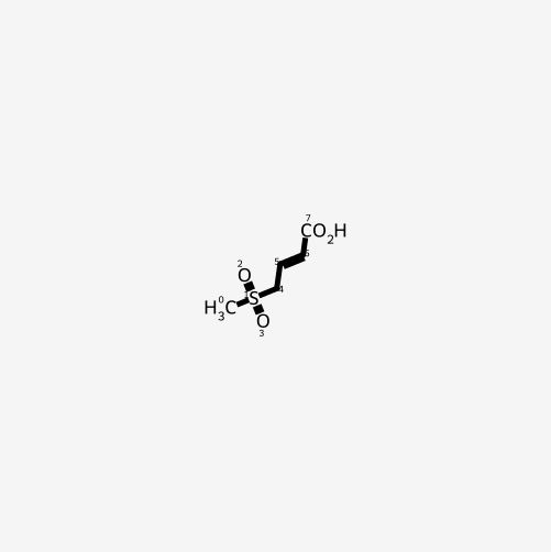 CS(=O)(=O)CC=CC(=O)O